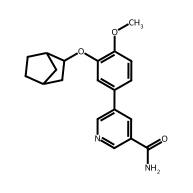 COc1ccc(-c2cncc(C(N)=O)c2)cc1OC1CC2CCC1C2